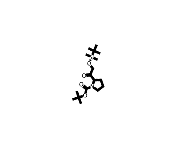 CC(C)(C)OC(=O)N1CCCC1C(=O)CO[Si](C)(C)C(C)(C)C